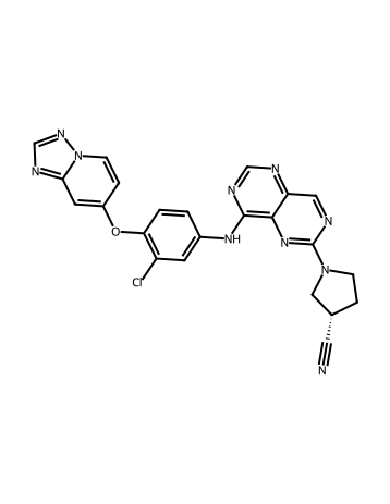 N#C[C@H]1CCN(c2ncc3ncnc(Nc4ccc(Oc5ccn6ncnc6c5)c(Cl)c4)c3n2)C1